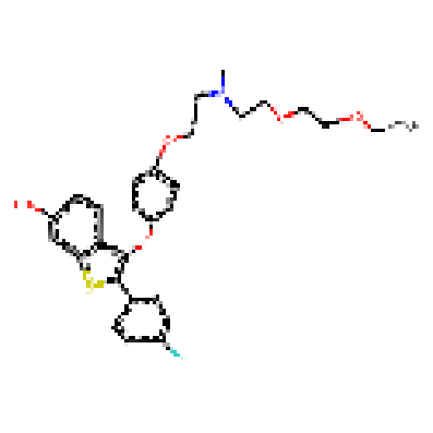 CN(CCOCCOCC(=O)O)CCOc1ccc(Oc2c(-c3ccc(F)cc3)sc3cc(O)ccc23)cc1